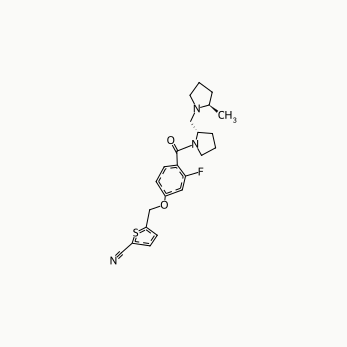 C[C@@H]1CCCN1C[C@@H]1CCCN1C(=O)c1ccc(OCc2ccc(C#N)s2)cc1F